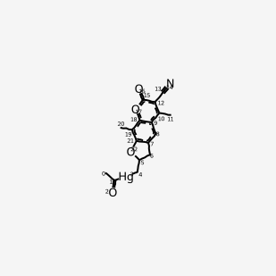 C[C](=O)[Hg][CH2]C1Cc2cc3c(C)c(C#N)c(=O)oc3c(C)c2O1